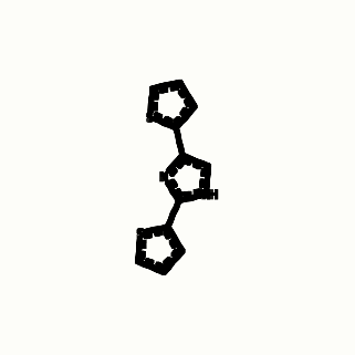 c1csc(-c2c[nH]c(-c3cccs3)n2)c1